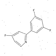 Fc1cc(F)cc(-c2cc(F)ccn2)c1